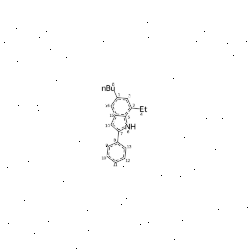 CCCCc1cc(CC)c2[nH]c(-c3ccccc3)cc2c1